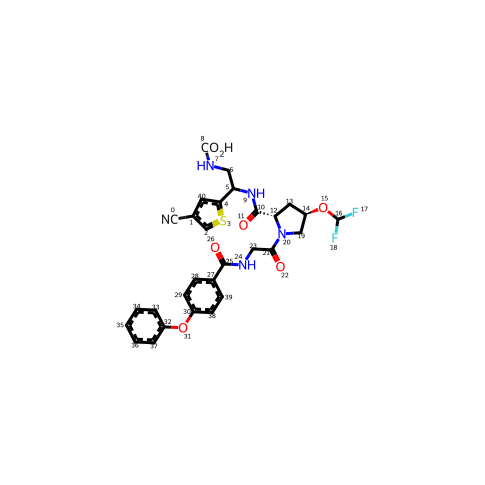 N#Cc1csc(C(CNC(=O)O)NC(=O)[C@@H]2C[C@@H](OC(F)F)CN2C(=O)CNC(=O)c2ccc(Oc3ccccc3)cc2)c1